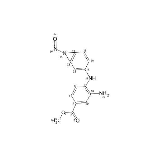 COC(=O)c1ccc(Nc2ccc3c(c2)N3N=O)c(N)c1